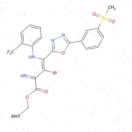 CSCOC(=O)C(=N)/C(Br)=C(\Nc1ccccc1C(F)(F)F)c1nnc(-c2cccc(S(C)(=O)=O)c2)o1